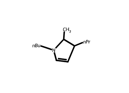 CCCCN1C=CC(CCC)C1C